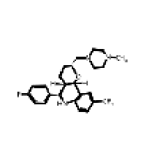 CN1CCN(C[C@H]2CC[C@@H]3[C@H](O2)c2cc(C(F)(F)F)ccc2N[C@H]3c2ccc(F)cc2)CC1